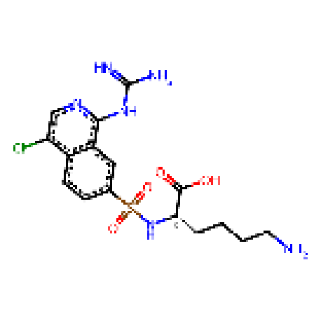 N=C(N)Nc1ncc(Cl)c2ccc(S(=O)(=O)N[C@@H](CCCCN)C(=O)O)cc12